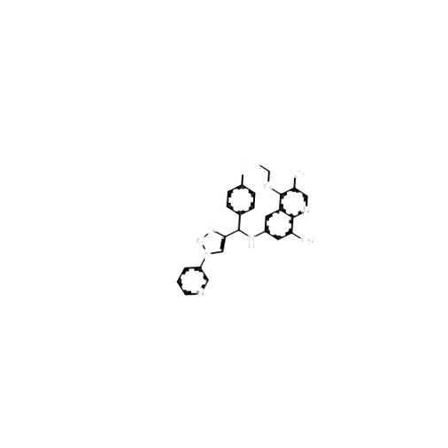 CC(C)(C)CNc1c(C#N)cnc2c(C#N)cc(NC(C3=CN(c4cccnc4)NN3)c3ccc(F)cc3)cc12